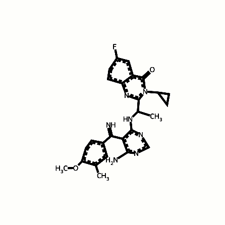 COc1ccc(C(=N)c2c(N)ncnc2NC(C)c2nc3ccc(F)cc3c(=O)n2C2CC2)cc1C